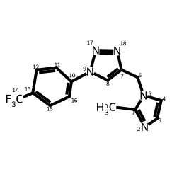 Cc1nccn1Cc1cn(-c2ccc(C(F)(F)F)cc2)nn1